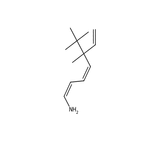 C=CC(C)(/C=C\C=C/N)C(C)(C)C